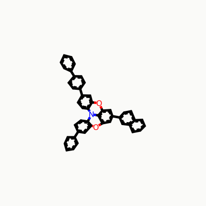 c1ccc(-c2ccc(-c3ccc4c(c3)Oc3cc(-c5ccc6ccccc6c5)cc5c3N4c3ccc(-c4ccccc4)cc3O5)cc2)cc1